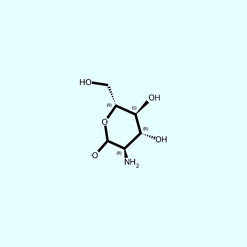 N[C@H]1C([O])O[C@H](CO)[C@@H](O)[C@@H]1O